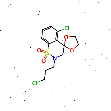 O=S1(=O)c2cccc(Cl)c2C2(CN1CCCCl)OCCO2